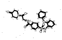 O=C1CCN(C(=O)CNC(=O)c2ccc(S(=O)(=O)Nc3ccccc3Oc3ccccc3)cc2)CC1